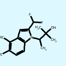 CC(n1c(C(F)F)cc2c(C#N)c(C#N)ccc21)C(C)(C)O